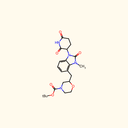 Cn1c(=O)n(C2CCC(=O)NC2=O)c2cccc(CC3CN(C(=O)OC(C)(C)C)CCO3)c21